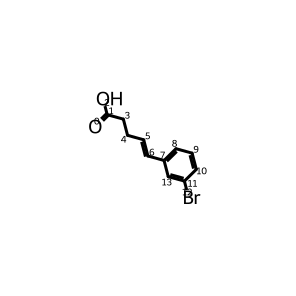 O=C(O)CCC=Cc1cccc(Br)c1